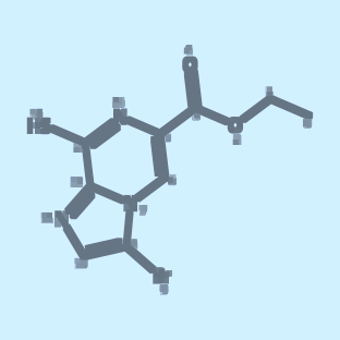 CCOC(=O)c1cn2c(Br)cnc2c(S)n1